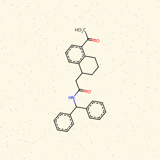 O=C(CC1CCCc2c(C(=O)C(=O)O)cccc21)NC(c1ccccc1)c1ccccc1